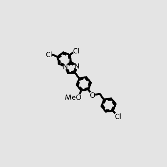 COc1cc(-c2cn3cc(Cl)cc(Cl)c3n2)ccc1OCc1ccc(Cl)cc1